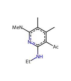 CCNc1nc(NC)c(C)c(C)c1C(C)=O